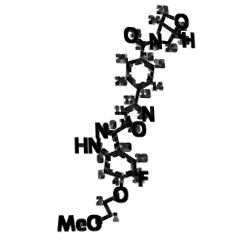 COCCOc1cc2[nH]nc(-c3cc(-c4ccc(C(=O)N5C[C@H]6OCC65)cc4)no3)c2cc1F